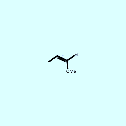 [CH2]/C=C(/CC)OC